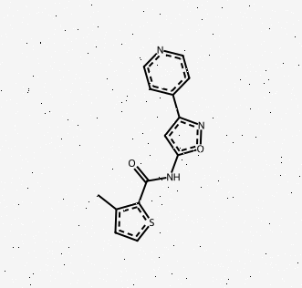 Cc1ccsc1C(=O)Nc1cc(-c2ccncc2)no1